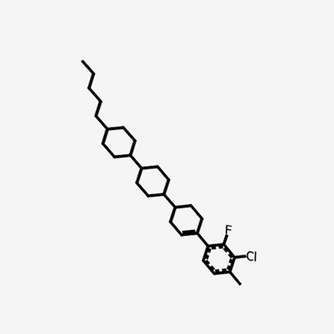 CCCCCC1CCC(C2CCC(C3CC=C(c4ccc(C)c(Cl)c4F)CC3)CC2)CC1